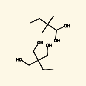 CCC(C)(C)C(O)O.CCC(CO)(CO)CO